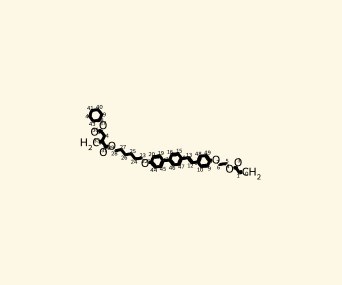 C=CC(=O)OCCOc1ccc(/C=C/c2ccc(-c3ccc(OCCCCCCOC(=O)C(=C)CC(=O)OC4CCCCC4)cc3)cc2)cc1